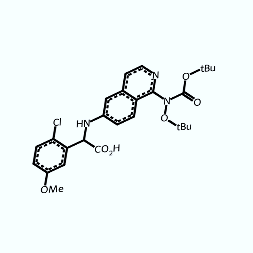 COc1ccc(Cl)c(C(Nc2ccc3c(N(OC(C)(C)C)C(=O)OC(C)(C)C)nccc3c2)C(=O)O)c1